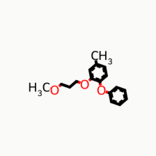 COCCCOc1cc(C)ccc1Oc1ccccc1